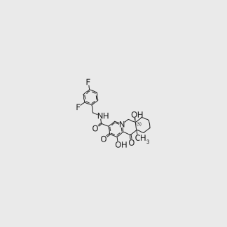 CC12CCCC[C@@]1(O)Cn1cc(C(=O)NCc3ccc(F)cc3F)c(=O)c(O)c1C2=O